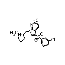 CN1CCCC1Cn1cc(S(=O)(=O)c2cccc(Cl)c2)c2cccnc21.Cl